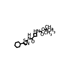 CC(C)(C)OC(=O)NC1CC(C(=O)Nc2ncc(C3CCCCC3)s2)C1